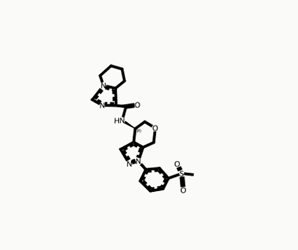 CS(=O)(=O)c1cccc(-n2ncc3c2COC[C@@H]3NC(=O)c2ncn3c2CCCC3)c1